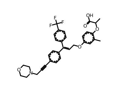 Cc1cc(OC/C=C(/c2ccc(C#CCN3CCOCC3)cc2)c2ccc(C(F)(F)F)cc2)ccc1OC(C)C(=O)O